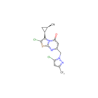 N#C[C@@H]1C[C@@H]1c1c(Cl)sc2nc(Cn3nc(C(F)(F)F)cc3Cl)cc(=O)n12